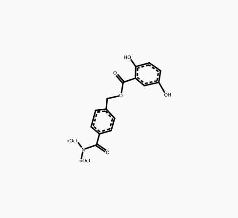 CCCCCCCCN(CCCCCCCC)C(=O)c1ccc(COC(=O)c2cc(O)ccc2O)cc1